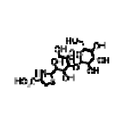 O=C(O)C1CSC(C(O)C(O)C(OC2O[C@H](CO)[C@@H](O)[C@H](O)[C@H]2O)C(O)CO)N1